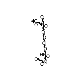 CN(CCC(=O)NCCOCCOCCOCCOCCC(=O)N(CCC=O)CCC(=O)OC(C)(C)C)C(=O)CCC=O